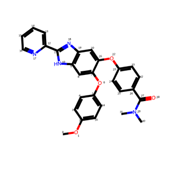 COc1ccc(Oc2cc3[nH]c(-c4ccccn4)nc3cc2Oc2ccc(C(=O)N(C)C)cc2)cc1